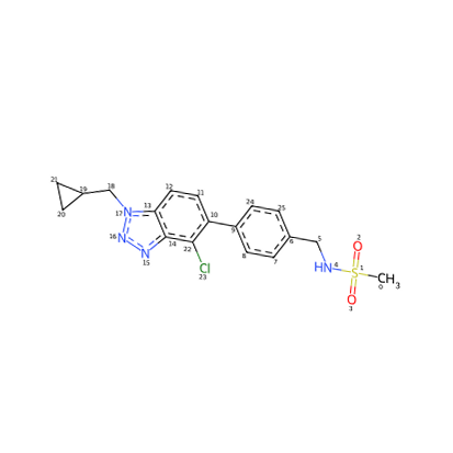 CS(=O)(=O)NCc1ccc(-c2ccc3c(nnn3CC3CC3)c2Cl)cc1